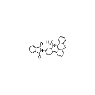 C[n+]1c2c3c(cccc3c3ccc(N4C(=O)c5ccccc5C4=O)cc31)Sc1ccccc1-2